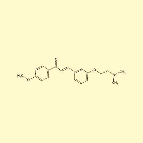 COc1ccc(C(=O)C=Cc2cccc(OCCN(C)C)c2)cc1